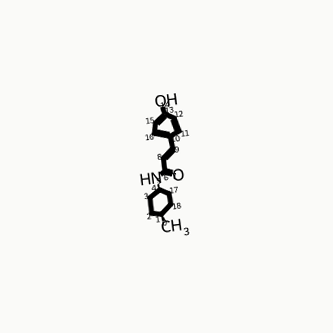 C[C@H]1CC[C@H](NC(=O)C=Cc2ccc(O)cc2)CC1